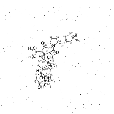 CC(C)C1=C2[C@H]3CC[C@@H]4[C@@]5(C)CC[C@H](O)C(C)(C)[C@@H]5CC[C@@]4(C)[C@]3(C)CC[C@@]2(C(=O)N2CCCC2CN2CCC(F)(F)C2)CC1=O